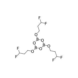 FC(F)CCOB1OB(OCCC(F)F)OB(OCCC(F)F)O1